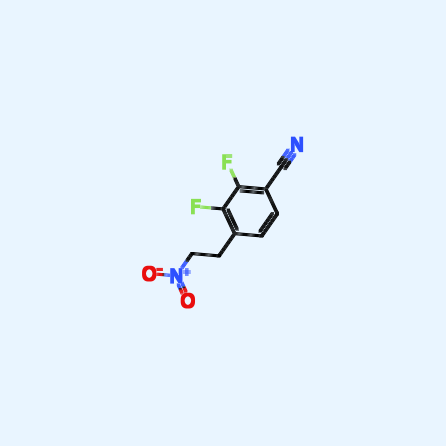 N#Cc1ccc(CC[N+](=O)[O-])c(F)c1F